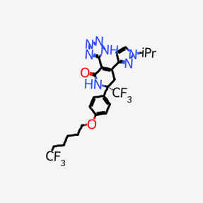 CC(C)n1ccc(C2=C(c3nnn[nH]3)C(=O)N[C@@](c3ccc(OCCCCCC(F)(F)F)cc3)(C(F)(F)F)C2)n1